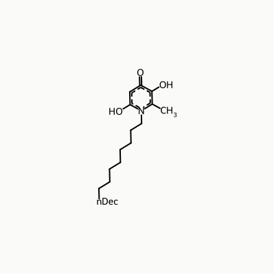 CCCCCCCCCCCCCCCCCCn1c(O)cc(=O)c(O)c1C